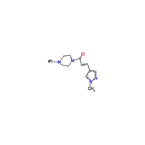 CC(C)N1CCN(C(=O)C=Cc2cnn(C)c2)CC1